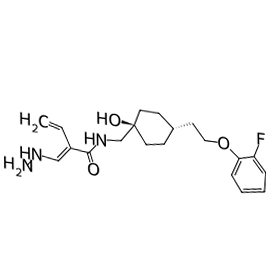 C=C/C(=C\NN)C(=O)NC[C@]1(O)CC[C@H](CCOc2ccccc2F)CC1